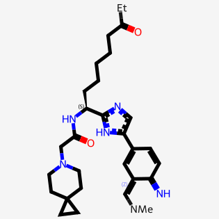 CCC(=O)CCCCC[C@H](NC(=O)CN1CCC2(CC1)CC2)c1ncc(C2=C/C(=C/NC)C(=N)C=C2)[nH]1